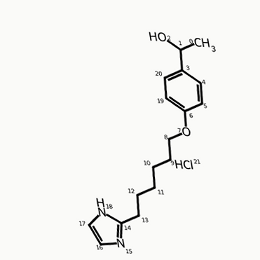 CC(O)c1ccc(OCCCCCCc2ncc[nH]2)cc1.Cl